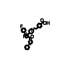 O=C(O)c1ccc(CCN2CCC(c3c(C(=O)N4CC[C@H](c5ccccc5)C4)cnn3-c3ccc(F)cc3)CC2)cc1